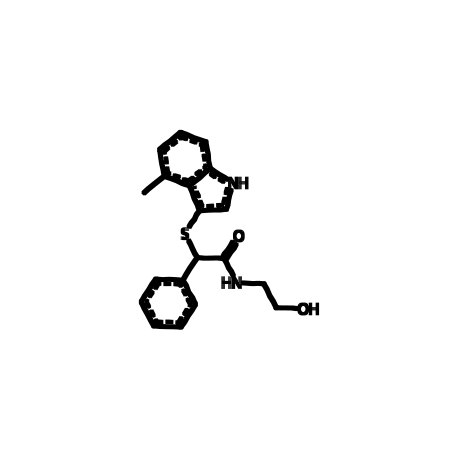 Cc1cccc2[nH]cc(SC(C(=O)NCCO)c3ccccc3)c12